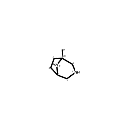 C[C@@]12CCC(CNC1)N2